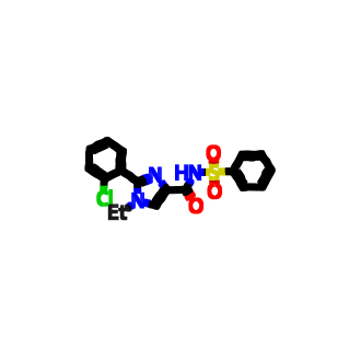 CCn1cc(C(=O)NS(=O)(=O)c2ccccc2)nc1-c1ccccc1Cl